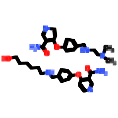 CN(C)CCNCc1ccc(Oc2ccncc2C(N)=O)cc1.NC(=O)c1cnccc1Oc1ccc(CNCCCCCCO)cc1